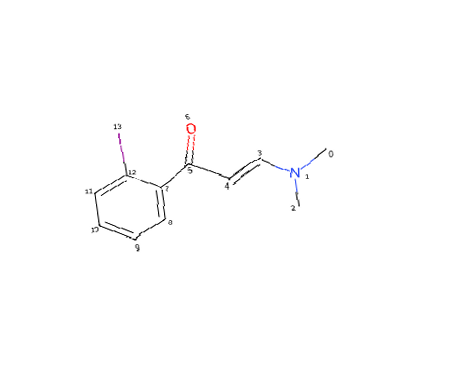 CN(C)/C=C/C(=O)c1ccccc1I